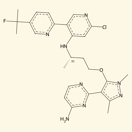 Cc1nn(C)c(OCC[C@H](C)Nc2cc(Cl)ncc2-c2ccc(C(C)(C)F)cn2)c1-c1nccc(N)n1